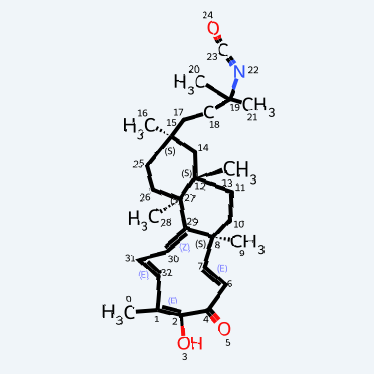 CC1=C(/O)C(=O)/C=C/[C@]2(C)CC[C@@]3(C)C[C@](C)(CCC(C)(C)N=C=O)CC[C@]3(C)\C2=C/C=C/1